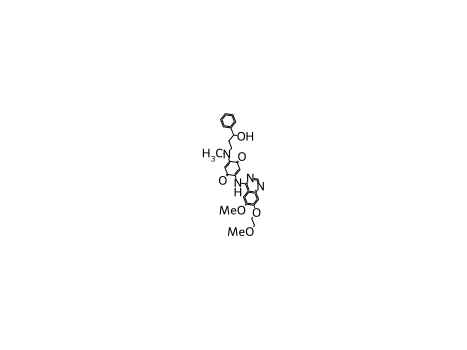 COCCOc1cc2ncnc(NC3=CC(=O)C(N(C)CCC(O)c4ccccc4)=CC3=O)c2cc1OC